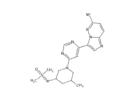 CC1CC(N=S(C)(C)=O)CN(c2cc(-c3cnc4ccc(C#N)nn34)ncn2)C1